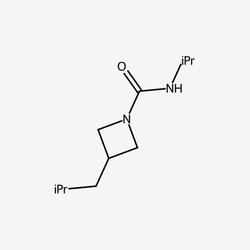 CC(C)CC1CN(C(=O)NC(C)C)C1